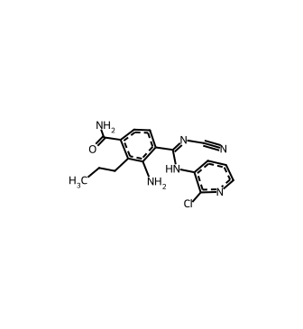 CCCc1c(C(N)=O)ccc(C(=NC#N)Nc2cccnc2Cl)c1N